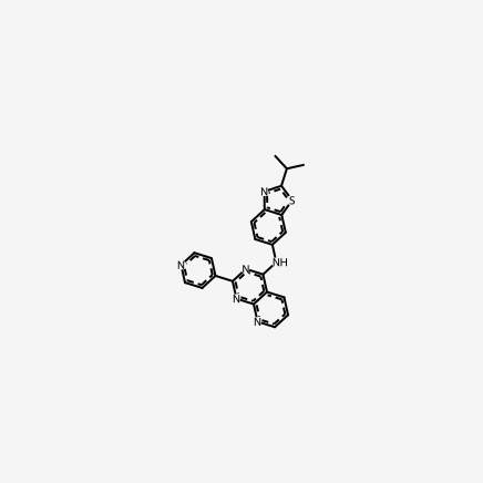 CC(C)c1nc2ccc(Nc3nc(-c4ccncc4)nc4ncccc34)cc2s1